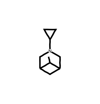 CC1C2CC1CN(C1CC1)C2